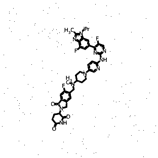 Cc1nc2c(F)cc(-c3nc(Nc4ccc(N5CCC(N(C)Cc6cc7c(cc6F)C(=O)N(C6CCC(=O)NC6=O)C7)CC5)cn4)ncc3F)cc2n1C(C)C